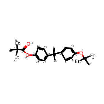 CCC(C)(CC)Oc1ccc(C(C)(C)c2ccc(OC(=O)C(C)(CC)CC)cc2)cc1